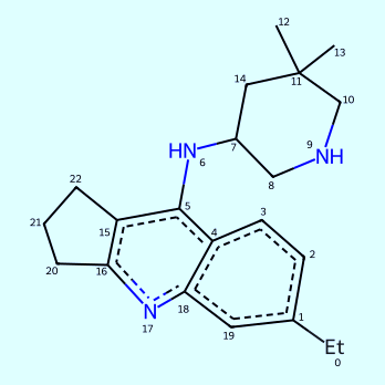 CCc1ccc2c(NC3CNCC(C)(C)C3)c3c(nc2c1)CCC3